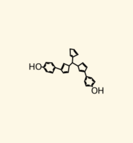 Oc1ccc(C2=CC(C(C3=CCC=C3)C3C=CC(c4ccc(O)cc4)=C3)C=C2)cc1